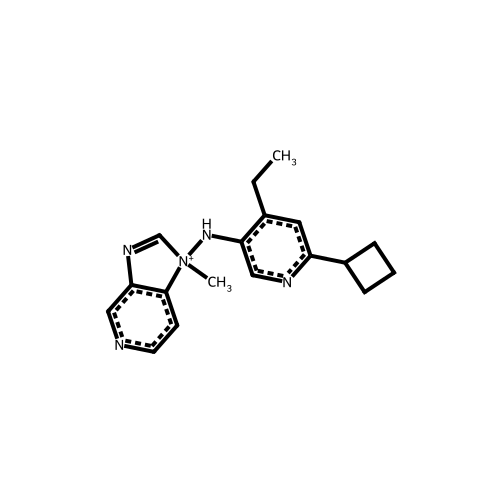 CCc1cc(C2CCC2)ncc1N[N+]1(C)C=Nc2cnccc21